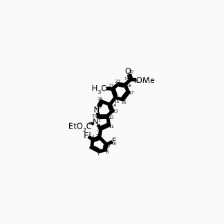 CCOC(=O)n1c(-c2c(F)cccc2F)cc2cc(-c3ccc(C(=O)OC)cc3C)cnc21